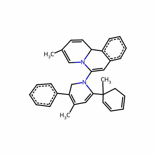 CC1=CN2C(N3CC(c4ccccc4)=C(C)C=C3C3(C)C=CC=CC3)=Cc3ccccc3C2C=C1